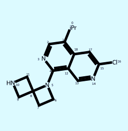 CC(C)c1cnc(N2CCC23CNC3)c2cnc(Cl)cc12